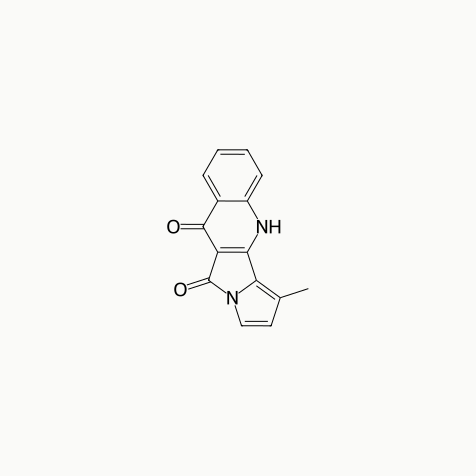 Cc1ccn2c1-c1[nH]c3ccccc3c(=O)c1C2=O